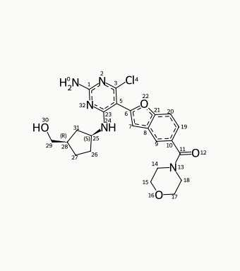 Nc1nc(Cl)c(-c2cc3cc(C(=O)N4CCOCC4)ccc3o2)c(N[C@H]2CC[C@@H](CO)C2)n1